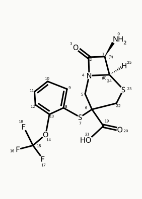 N[C@@H]1C(=O)N2CC(Sc3ccccc3OC(F)(F)F)(C(=O)O)CS[C@H]12